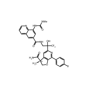 CNC(=O)Nc1cc(C(=O)NCC(O)(c2cc3c(c(-c4ccc(F)cc4)n2)OC[C@]3(C)C(N)=O)C(F)(F)F)cc2cccnc12